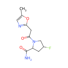 Cc1cnc(CC(=O)N2CC(F)CC2C(N)=O)o1